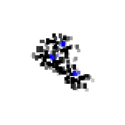 C[Si](C)(C)[N-][Si](C)(C)C.C[Si](C)(C)[N-][Si](C)(C)C.C[Si](C)(C)[N-][Si](C)(C)C.[Cr+3]